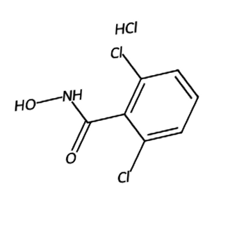 Cl.O=C(NO)c1c(Cl)cccc1Cl